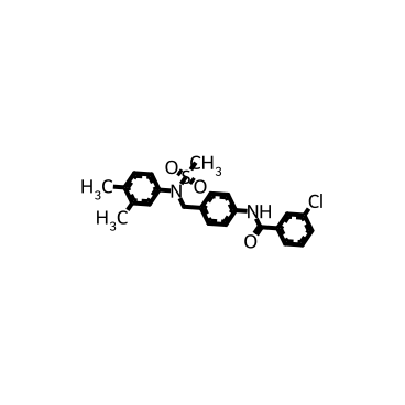 Cc1ccc(N(Cc2ccc(NC(=O)c3cccc(Cl)c3)cc2)S(C)(=O)=O)cc1C